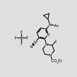 CCOC(=O)N1CCN(c2nc(N(C(C)=O)C3CC3)ccc2[N+]#N)C(I)C1.F[B-](F)(F)F